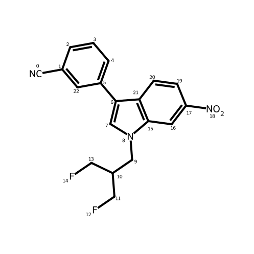 N#Cc1cccc(-c2cn(CC(CF)CF)c3cc([N+](=O)[O-])ccc23)c1